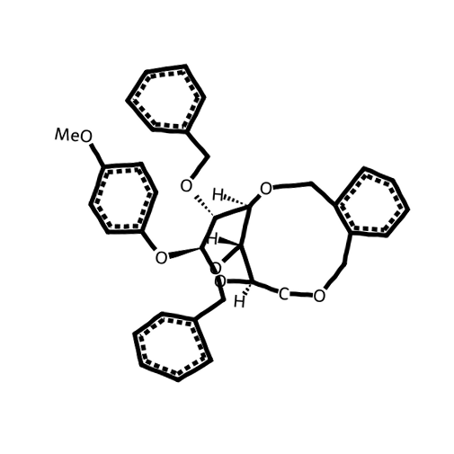 COc1ccc(O[C@@H]2O[C@@H]3COCc4ccccc4CO[C@@H]([C@H]3OCc3ccccc3)[C@H]2OCc2ccccc2)cc1